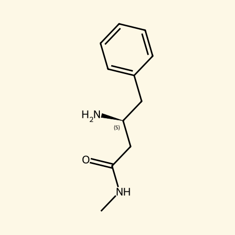 CNC(=O)C[C@@H](N)Cc1ccccc1